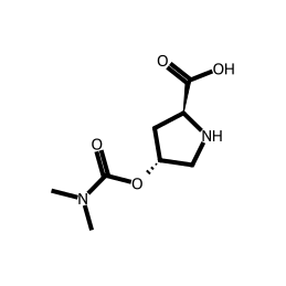 CN(C)C(=O)O[C@H]1CN[C@H](C(=O)O)C1